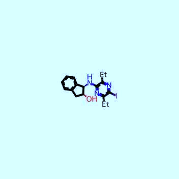 CCc1nc(N[C@@H]2c3ccccc3C[C@@H]2O)c(CC)nc1I